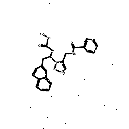 O=C(CC(Cc1ccc2ccccc2c1)N1NNC=C1CNC(=O)c1ccccc1)NO